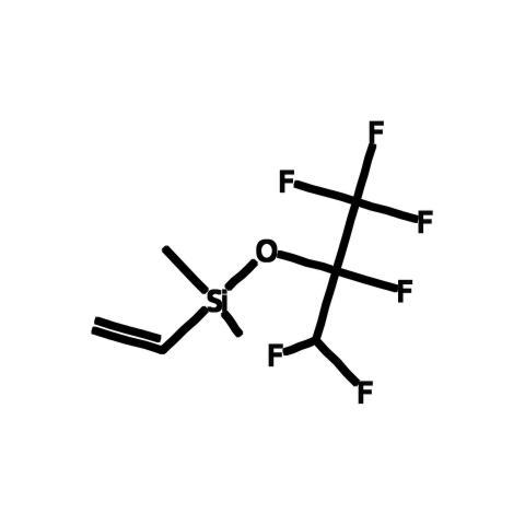 C=C[Si](C)(C)OC(F)(C(F)F)C(F)(F)F